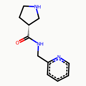 O=C(NCc1ccccn1)[C@@H]1CCNC1